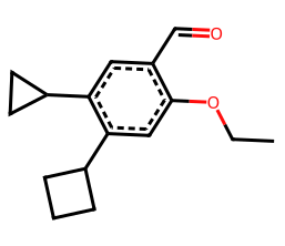 CCOc1cc(C2CCC2)c(C2CC2)cc1C=O